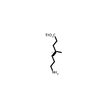 CCOC(=O)CC/C(C)=C/CCN